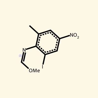 CO/C=N\c1c(C)cc([N+](=O)[O-])cc1I